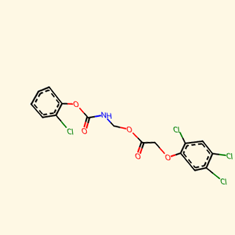 O=C(COc1cc(Cl)c(Cl)cc1Cl)OCNC(=O)Oc1ccccc1Cl